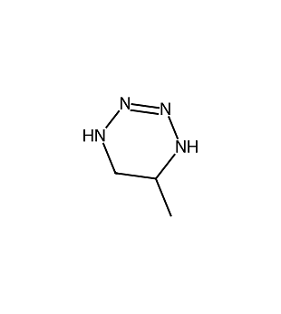 CC1CNN=NN1